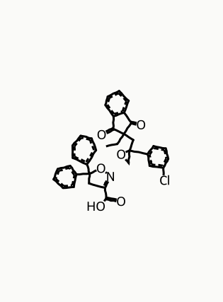 CCC1(CC2(c3cccc(Cl)c3)CO2)C(=O)c2ccccc2C1=O.O=C(O)C1=NOC(c2ccccc2)(c2ccccc2)C1